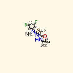 Cc1sc(N(C#N)c2cc(F)cc(F)c2)nc1C(=O)N[C@@H]1CCC1(C)C